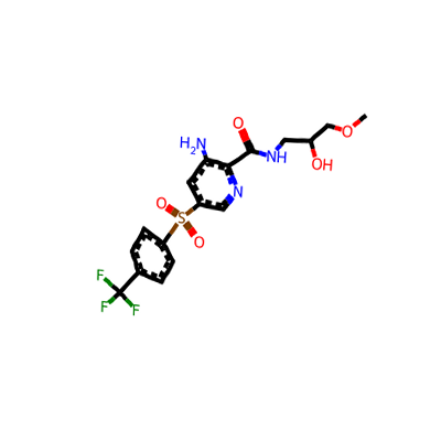 COCC(O)CNC(=O)c1ncc(S(=O)(=O)c2ccc(C(F)(F)F)cc2)cc1N